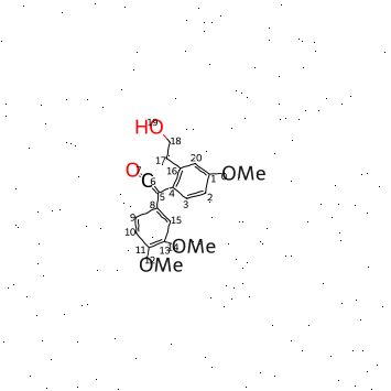 COc1ccc(C(=C=O)c2ccc(OC)c(OC)c2)c(CCO)c1